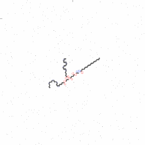 C=CC/C=C\C/C=C\C/C=C\C/C=C\CCCC(=O)OCC(COC(=O)CCC(=O)OCCNC(=O)CCCCCCCCCCCCC)OC(=O)CCC/C=C\C/C=C\C/C=C\C/C=C\C